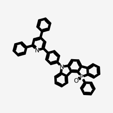 O=P1(c2ccccc2)c2ccccc2-c2ccc3c(c21)c1ccccc1n3-c1ccc(-c2cc(-c3ccccc3)cc(-c3ccccc3)n2)cc1